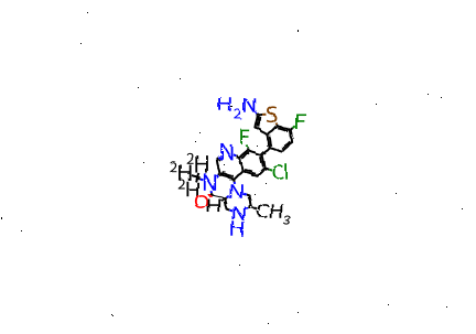 [2H]C([2H])([2H])N1C(=O)[C@H]2CN[C@H](C)CN2c2c1cnc1c(F)c(-c3ccc(F)c4sc(N)cc34)c(Cl)cc21